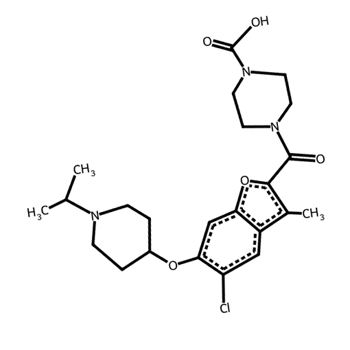 Cc1c(C(=O)N2CCN(C(=O)O)CC2)oc2cc(OC3CCN(C(C)C)CC3)c(Cl)cc12